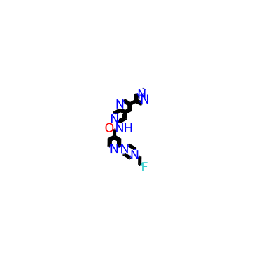 Cn1cc(-c2cnc3cnc(NC(=O)c4ccnc(N5CCN(CCF)CC5)c4)cc3c2)cn1